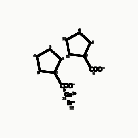 O=C([O-])C1CCCC1.O=C([O-])C1CCCC1.[Br-].[Ga+3]